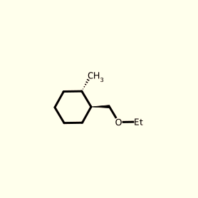 CCOC[C@H]1CCCC[C@@H]1C